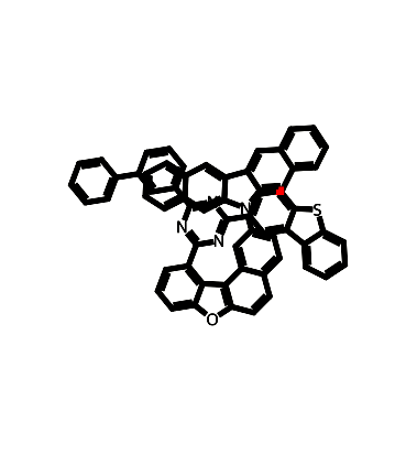 c1ccc(-c2cccc(-c3nc(-c4ccc5sc6ccccc6c5c4)nc(-c4cccc5oc6ccc7ccc(-n8c9cc%10ccccc%10cc9c9cc%10ccccc%10cc98)cc7c6c45)n3)c2)cc1